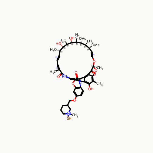 CO[C@H]1/C=C/O[C@@]2(C)Oc3c(C)c(O)c4c(=O)c(c5oc6cc(OCC7CCC[N+](C)(S)C7)ccc6nc-5c4c3C2=O)NC(=O)/C(C)=C\C=C\[C@H](C)[C@H](O)[C@@H](C)[C@@H](O)[C@@H](C)[C@H](OC(C)=O)[C@@H]1C